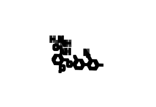 COc1cccc(NC(=O)NN)c1COc1ccc(-c2ccc(C)cc2C#N)cc1C